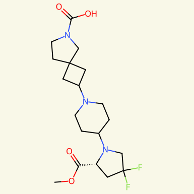 COC(=O)[C@H]1CC(F)(F)CN1C1CCN(C2CC3(CCN(C(=O)O)C3)C2)CC1